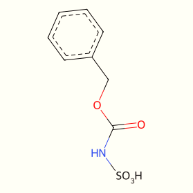 O=C(NS(=O)(=O)O)OCc1ccccc1